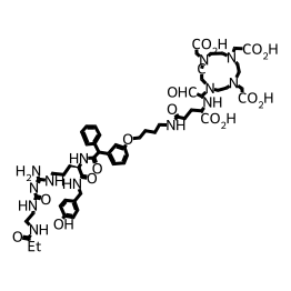 CCC(=O)NCCNC(=O)/N=C(/N)NCCC[C@@H](NC(=O)C(c1ccccc1)c1cccc(OCCCCNC(=O)CC[C@@H](NC(C=O)N2CCN(CC(=O)O)CCN(CC(=O)O)CCN(CC(=O)O)CC2)C(=O)O)c1)C(=O)NCc1ccc(O)cc1